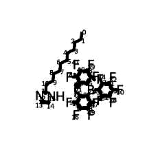 CCCCCCCCCCCc1ncc[nH]1.Fc1c(F)c(F)c(B(c2c(F)c(F)c(F)c(F)c2F)c2c(F)c(F)c(F)c(F)c2F)c(F)c1F